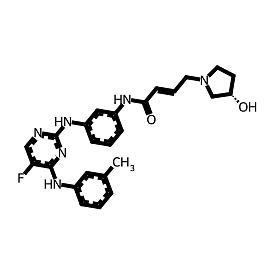 Cc1cccc(Nc2nc(Nc3cccc(NC(=O)/C=C/CN4CC[C@H](O)C4)c3)ncc2F)c1